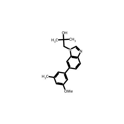 COc1cc(C)cc(-c2ccc3ncn(CC(C)(C)O)c3c2)c1